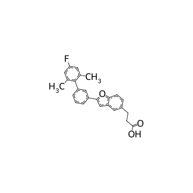 Cc1cc(F)cc(C)c1-c1cccc(-c2cc3cc(CCC(=O)O)ccc3o2)c1